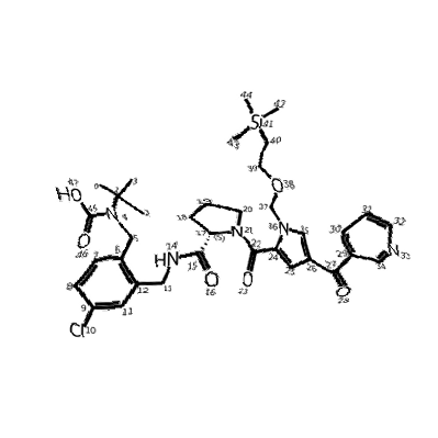 CC(C)(C)N(Cc1ccc(Cl)cc1CNC(=O)[C@@H]1CCCN1C(=O)c1cc(C(=O)c2cccnc2)cn1COCC[Si](C)(C)C)C(=O)O